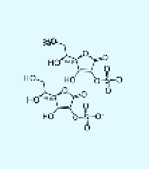 O=C1O[C@H]([C@@H](O)CO)C(O)=C1OS(=O)(=O)[O-].O=C1O[C@H]([C@@H](O)CO)C(O)=C1OS(=O)(=O)[O-].[Ba+2]